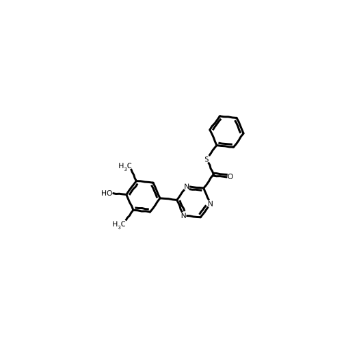 Cc1cc(-c2ncnc(C(=O)Sc3ccccc3)n2)cc(C)c1O